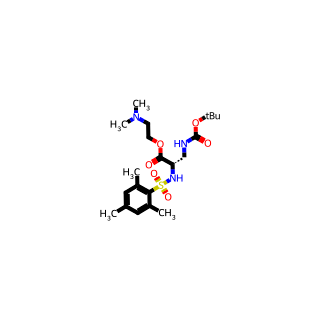 Cc1cc(C)c(S(=O)(=O)N[C@@H](CNC(=O)OC(C)(C)C)C(=O)OCCN(C)C)c(C)c1